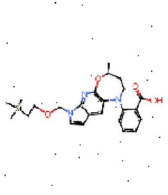 C[C@H]1CCN(c2ccccc2C(=O)O)c2cc3ccn(COCC[Si](C)(C)C)c3nc2O1